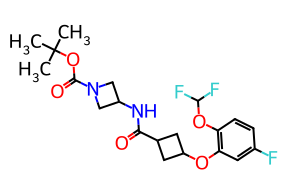 CC(C)(C)OC(=O)N1CC(NC(=O)C2CC(Oc3cc(F)ccc3OC(F)F)C2)C1